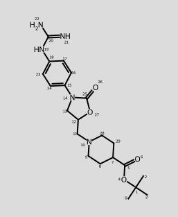 CC(C)(C)OC(=O)C1CCN(CC2CN(c3ccc(NC(=N)N)cc3)C(=O)O2)CC1